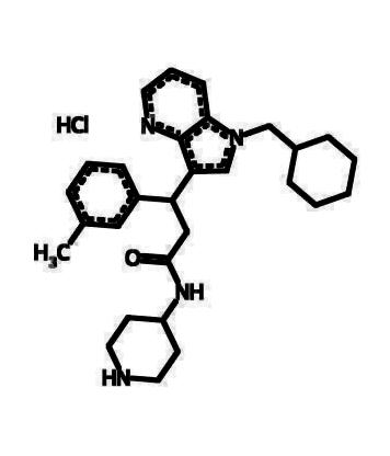 Cc1cccc(C(CC(=O)NC2CCNCC2)c2cn(CC3CCCCC3)c3cccnc23)c1.Cl